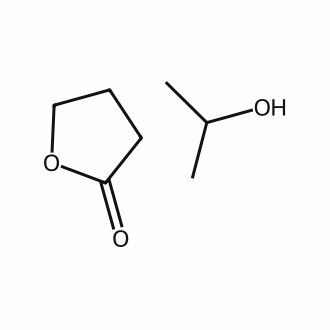 CC(C)O.O=C1CCCO1